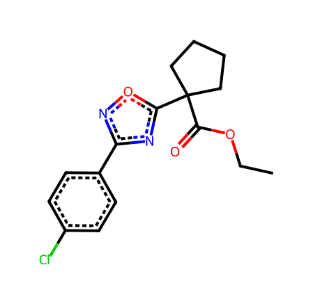 CCOC(=O)C1(c2nc(-c3ccc(Cl)cc3)no2)CCCC1